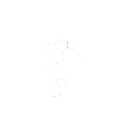 COC[C@H]1CCc2cc3c(c(NC(=O)N=[S@](N)(=O)c4cnn5c4OCC5)c21)CCC3